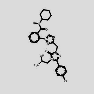 CN(C(=O)c1ccccc1-n1cnc(Cn2nc(-c3ccc(Cl)cc3)n(C[C@H](O)C(F)(F)F)c2=O)n1)C1CCCCC1